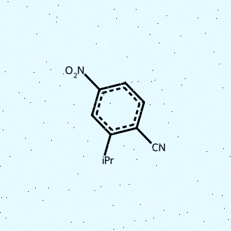 CC(C)c1cc([N+](=O)[O-])ccc1C#N